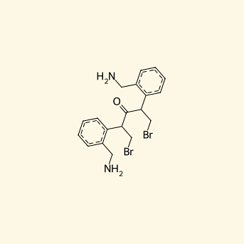 NCc1ccccc1C(CBr)C(=O)C(CBr)c1ccccc1CN